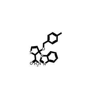 Cc1ccc(COC2(n3cnc4ccccc43)C=CSC2C(N)=O)cc1